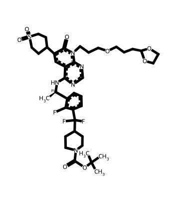 C[C@@H](Nc1ncnc2c1cc(C1CCS(=O)(=O)CC1)c(=O)n2CCCOCCCC1OCCO1)c1cccc(C(F)(F)C2CCN(C(=O)OC(C)(C)C)CC2)c1F